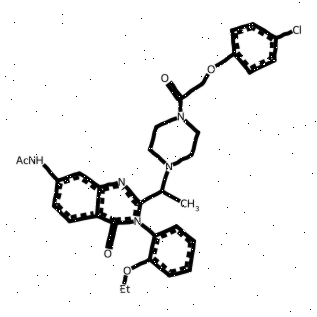 CCOc1ccccc1-n1c(C(C)N2CCN(C(=O)COc3ccc(Cl)cc3)CC2)nc2cc(NC(C)=O)ccc2c1=O